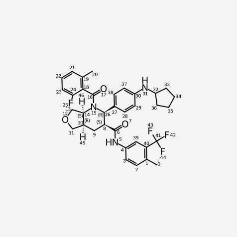 Cc1ccc(NC(=O)[C@H]2C[C@H]3COC[C@H]3N(C(=O)c3c(C)cccc3F)[C@H]2c2ccc(NC3CCCC3)cc2)cc1C(F)(F)F